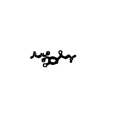 CN(C)C=CC(=O)c1ccc(Cl)c(S(=O)(=O)N=CN(C)C)c1